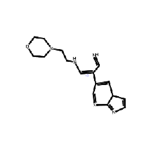 N=C/C(=C\NCCN1CCOCC1)C1=CC2C=CN=C2N=C1